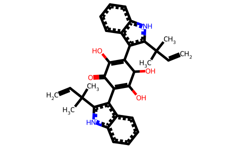 C=CC(C)(C)c1[nH]c2ccccc2c1C1=C(O)C(O)C(c2c(C(C)(C)C=C)[nH]c3ccccc23)=C(O)C1=O